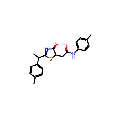 Cc1ccc(NC(=O)CC2SC(C(C)c3ccc(C)cc3)=NC2=O)cc1